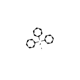 [Cl][Cu][PH](c1ccccc1)(c1ccccc1)c1ccccc1